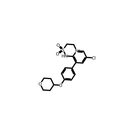 O=S1(=O)CC[n+]2cc(Cl)cc(-c3ccc(OC4CCOCC4)cc3)c2N1